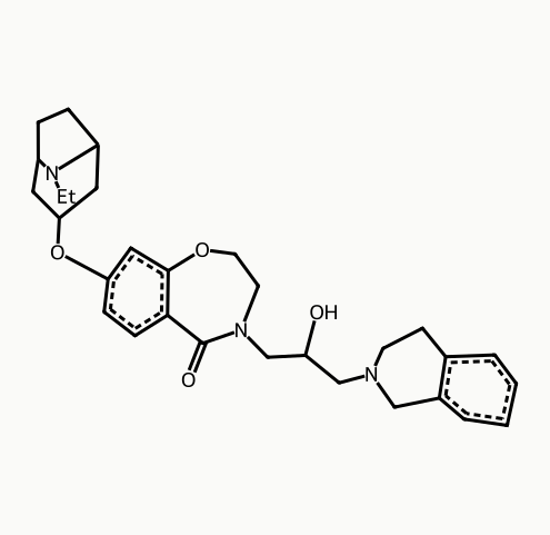 CCN1C2CCC1CC(Oc1ccc3c(c1)OCCN(CC(O)CN1CCc4ccccc4C1)C3=O)C2